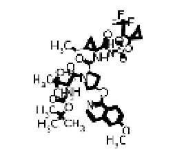 CC[C@@H]1C[C@]1(NC(=O)[C@@H]1C[C@@H](Oc2nccc3cc(OC)ccc23)CN1C(=O)[C@@H](NC(=O)OC(C)(C)C)C(C)(C)C)C(=O)NS(=O)(=O)OC1(CC(F)(F)F)CC1